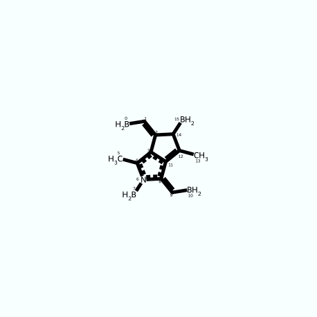 B/C=C1\c2c(C)n(B)/c(=C/B)c2=C(C)C1B